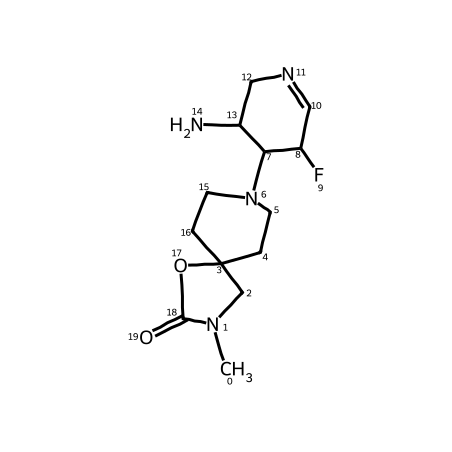 CN1CC2(CCN(C3C(F)C=NCC3N)CC2)OC1=O